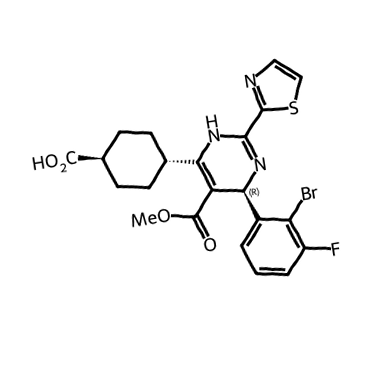 COC(=O)C1=C([C@H]2CC[C@H](C(=O)O)CC2)NC(c2nccs2)=N[C@H]1c1cccc(F)c1Br